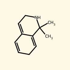 CC1(C)NCC=C2C=CCC=C21